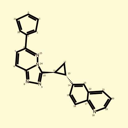 c1ccc(-c2ccc3nnc([C@H]4C[C@@H]4c4ccc5ncccc5c4)n3n2)cc1